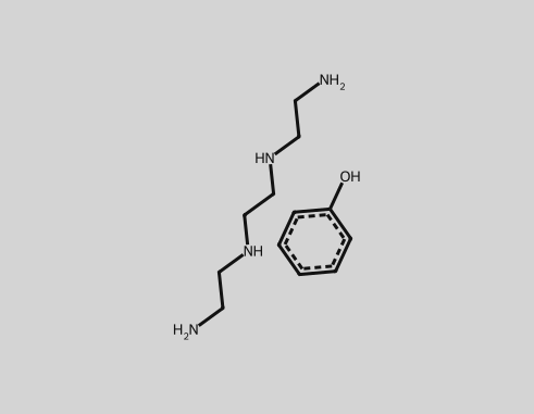 NCCNCCNCCN.Oc1ccccc1